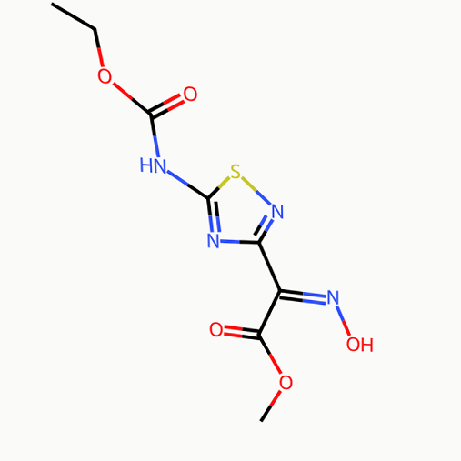 CCOC(=O)Nc1nc(C(=NO)C(=O)OC)ns1